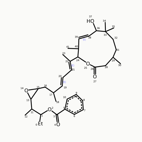 CCC(OC(=O)c1ccccc1)C(C)C1OC1CC(C)/C=C/C=C(\C)C1OC(=O)CC(C)CCC(C)(C)C(O)/C=C/C1C